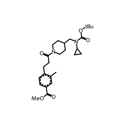 COC(=O)c1ccc(CCC(=O)N2CCC(CN(C(=O)OC(C)(C)C)C3CC3)CC2)c(C)c1